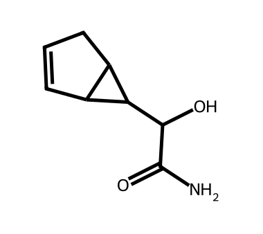 NC(=O)C(O)C1C2C=CCC21